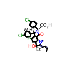 C=N/C(=C\C=C/C)C(O)(CC)c1cc(F)c2c(c1)C(=O)N([C@@H](CC(=O)O)c1ccc(Cl)cc1)[C@@]2(OC)c1ccc(Cl)cc1